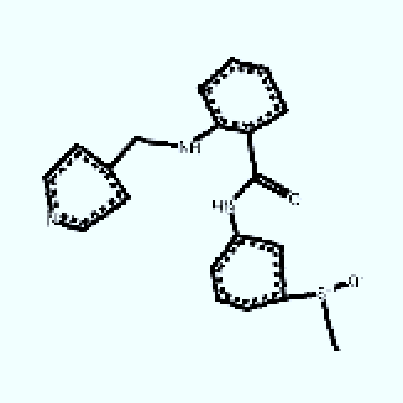 C[S+]([O-])c1cccc(NC(=O)c2ccccc2NCc2ccncc2)c1